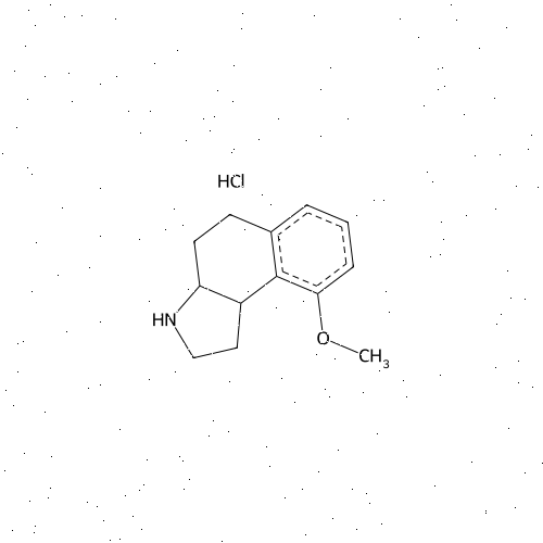 COc1cccc2c1C1CCNC1CC2.Cl